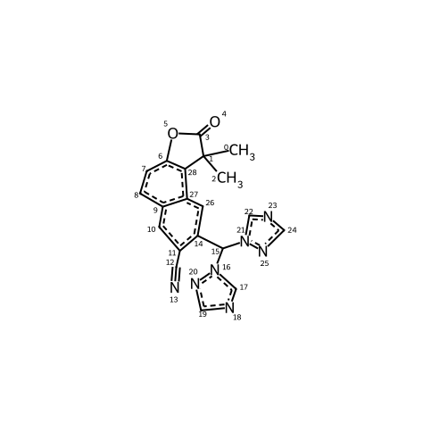 CC1(C)C(=O)Oc2ccc3cc(C#N)c(C(n4cncn4)n4cncn4)cc3c21